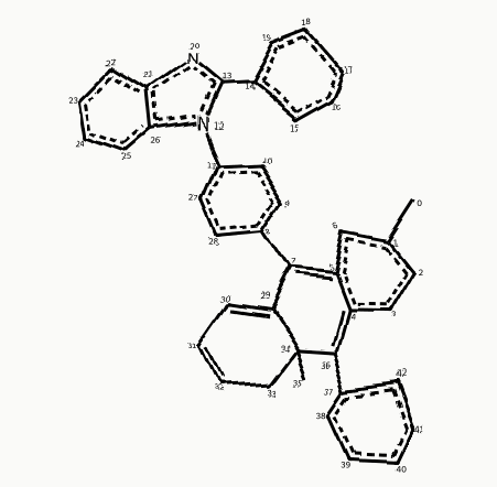 Cc1ccc2c(c1)=C(c1ccc(-n3c(-c4ccccc4)nc4ccccc43)cc1)C1=CC=CCC1(C)C=2c1ccccc1